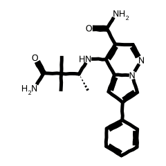 C[C@@H](Nc1c(C(N)=O)cnn2cc(-c3ccccc3)cc12)C(C)(C)C(N)=O